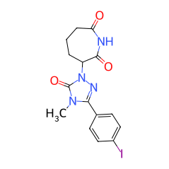 Cn1c(-c2ccc(I)cc2)nn(C2CCCC(=O)NC2=O)c1=O